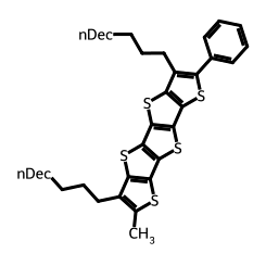 CCCCCCCCCCCCCc1c(C)sc2c1sc1c2sc2c3sc(-c4ccccc4)c(CCCCCCCCCCCCC)c3sc21